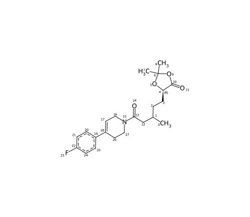 CC(CC[C@H]1OC(C)(C)OC1=O)CC(=O)N1CC=C(c2ccc(F)cc2)CC1